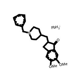 COc1cc2c(cc1OC)C(=O)C(CC1CCN(Cc3ccccc3)CC1)C2.[PbH2]